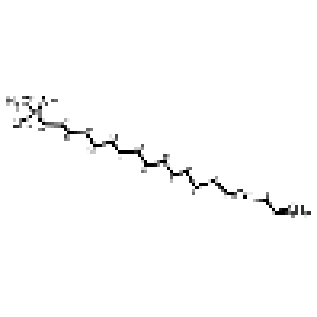 C=CCCCCCCCCCCCCCCCCCC[Si](C)(Cl)Cl